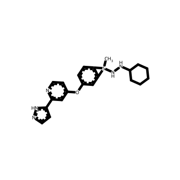 CS1(NNC2CCCCC2)c2ccc(Oc3ccnc(-c4ccn[nH]4)c3)cc21